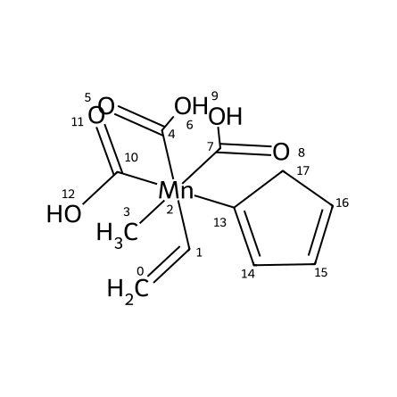 C=[CH][Mn]([CH3])([C](=O)O)([C](=O)O)([C](=O)O)[C]1=CC=CC1